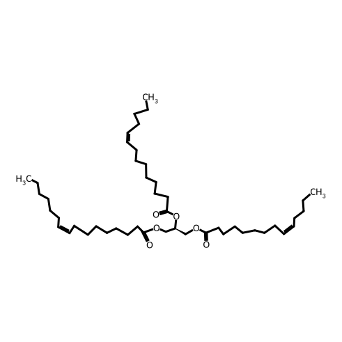 CCCC/C=C\CCCCCCCC(=O)OC[C@@H](COC(=O)CCCCCCC/C=C\CCCCCC)OC(=O)CCCCCCC/C=C\CCCC